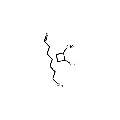 CCCC1CCC1C=O.CCCCCCCC=O